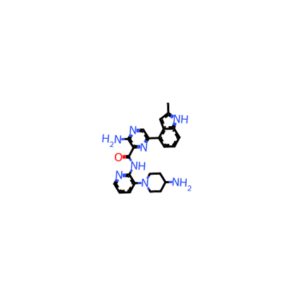 Cc1cc2c(-c3cnc(N)c(C(=O)Nc4ncccc4N4CCC(N)CC4)n3)cccc2[nH]1